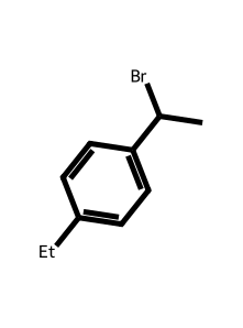 CCc1ccc(C(C)Br)cc1